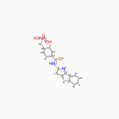 O=C(Nc1nc2c(s1)Cc1ccccc1-2)c1ccc(CP(=O)(O)O)cc1